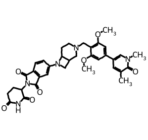 COc1cc(-c2cc(C)c(=O)n(C)c2)cc(OC)c1CN1CCC2C(C1)CN2c1ccc2c(c1)C(=O)N(C1CCC(=O)NC1=O)C2=O